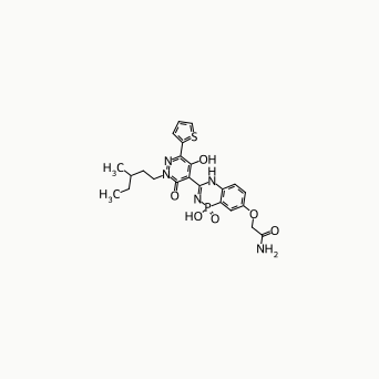 CCC(C)CCn1nc(-c2cccs2)c(O)c(C2=NP(=O)(O)c3cc(OCC(N)=O)ccc3N2)c1=O